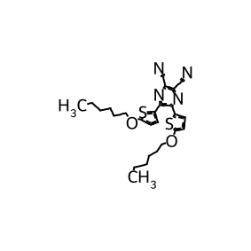 CCCCCCOc1ccc(-c2nc(C#N)c(C#N)nc2-c2ccc(OCCCCCC)s2)s1